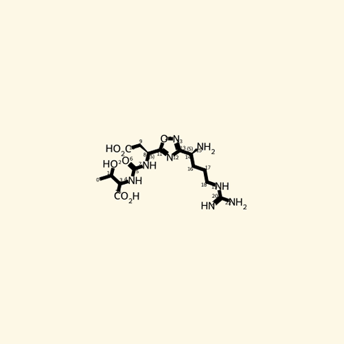 CC(O)C(NC(=O)N[C@@H](CC(=O)O)c1nc([C@@H](N)CCCNC(=N)N)no1)C(=O)O